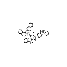 CCC1C(c2ccc(C3C=CC=CN3)cc2)=NC2=C(c3ccccc3C2(C)C)C1n1c2cc3ccccc3cc2c2c3ccccc3ccc21